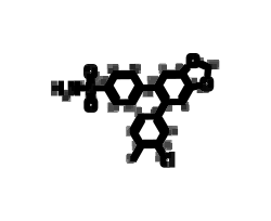 Cc1ccc(-c2cc3c(cc2-c2ccc(S(N)(=O)=O)cc2)OCO3)cc1Cl